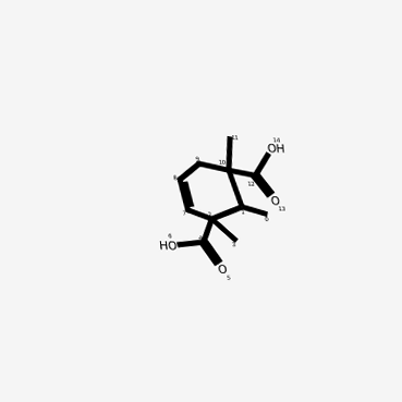 CC1C(C)(C(=O)O)C=CCC1(C)C(=O)O